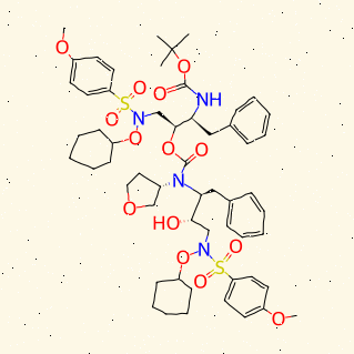 COc1ccc(S(=O)(=O)N(C[C@H](OC(=O)N([C@H]2CCOC2)[C@@H](Cc2ccccc2)[C@@H](O)CN(OC2CCCCC2)S(=O)(=O)c2ccc(OC)cc2)[C@H](Cc2ccccc2)NC(=O)OC(C)(C)C)OC2CCCCC2)cc1